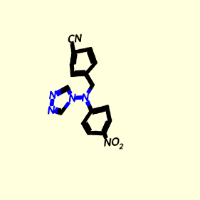 N#Cc1ccc(CN(c2ccc([N+](=O)[O-])cc2)n2cnnc2)cc1